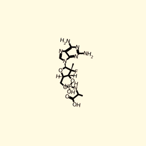 CC(N[PH]1(O)OC[C@H]2O[C@@H](n3cnc4c(N)nc(N)nc43)[C@](C)(F)[C@@H]2O1)C(=O)O